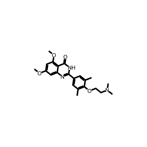 COc1cc(OC)c2c(=O)[nH]c(-c3cc(C)c(OCCN(C)C)c(C)c3)nc2c1